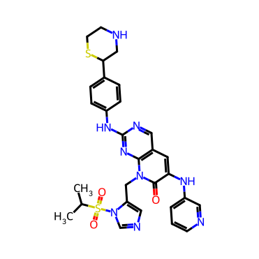 CC(C)S(=O)(=O)n1cncc1Cn1c(=O)c(Nc2cccnc2)cc2cnc(Nc3ccc(C4CNCCS4)cc3)nc21